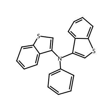 c1ccc(N(c2csc3ccccc23)c2csc3ccccc23)cc1